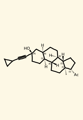 CC(=O)[C@H]1CC[C@H]2[C@@H]3CC[C@@H]4C[C@@](O)(C#CC5CC5)CC[C@@H]4[C@H]3CC[C@]12C